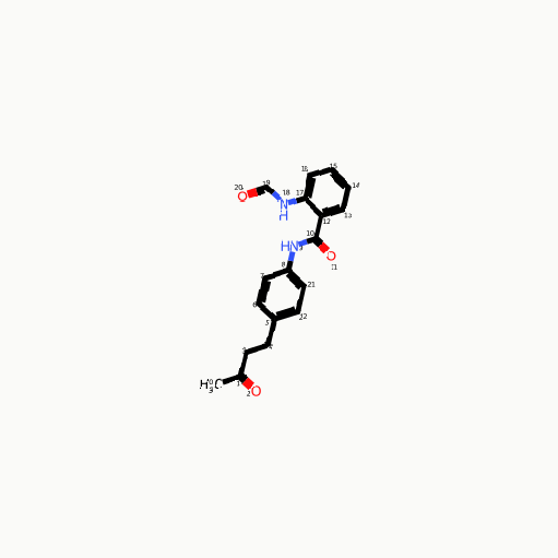 CC(=O)CCc1ccc(NC(=O)c2ccccc2NC=O)cc1